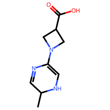 CC1C=NC(N2CC(C(=O)O)C2)=CN1